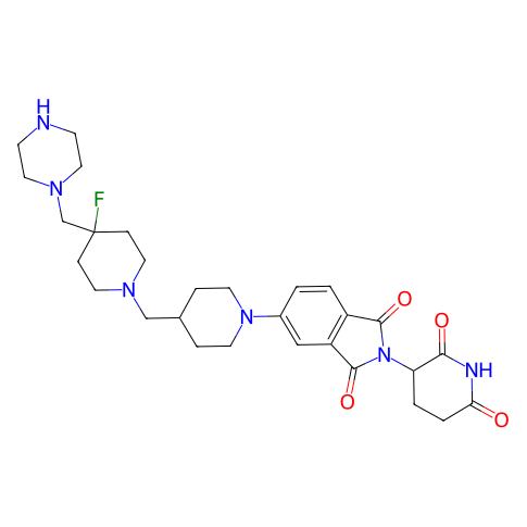 O=C1CCC(N2C(=O)c3ccc(N4CCC(CN5CCC(F)(CN6CCNCC6)CC5)CC4)cc3C2=O)C(=O)N1